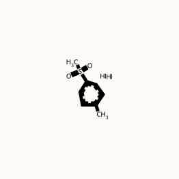 Cc1ccc(S(C)(=O)=O)cc1.I.I